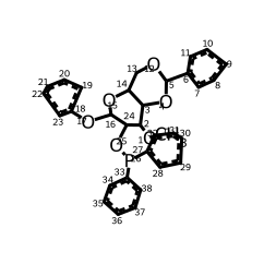 COC1C2OC(c3ccccc3)OCC2OC(Oc2ccccc2)C1OP(c1ccccc1)c1ccccc1